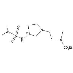 CCOC(=O)N(C)CCN1CC[C@@H](NS(=O)(=O)N(C)C)C1